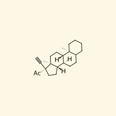 C#C[C@]1(C(C)=O)CC[C@H]2[C@@H]3CCC4CCCC[C@]4(C)[C@H]3CC[C@@]21C